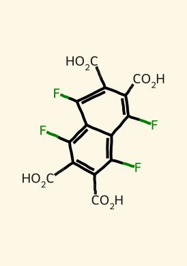 O=C(O)c1c(C(=O)O)c(F)c2c(F)c(C(=O)O)c(C(=O)O)c(F)c2c1F